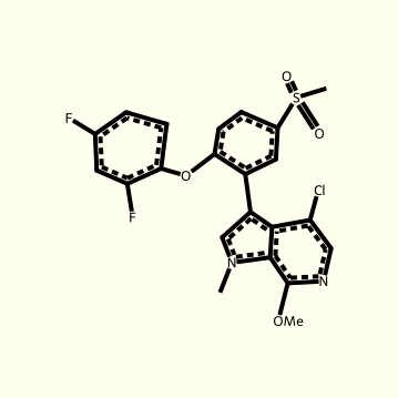 COc1ncc(Cl)c2c(-c3cc(S(C)(=O)=O)ccc3Oc3ccc(F)cc3F)cn(C)c12